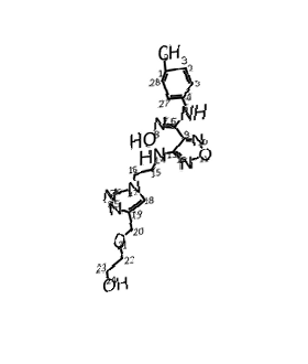 Cc1ccc(NC(=NO)c2nonc2NCCn2cc(COCCO)nn2)cc1